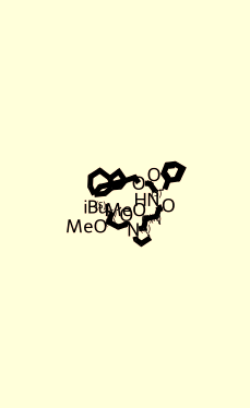 CC[C@H](C)[C@H](C)[C@@H](CC(=O)N1CCC[C@H]1[C@H](OC)[C@@H](C)C(=O)N[C@@H](Cc1ccccc1)C(=O)OCC12CC3CCCC(C1)C(C3)C2)OC